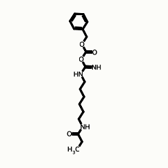 CCC(=O)NCCCCCCNC(=N)OC(=O)OCc1ccccc1